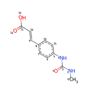 CNC(=O)Nc1ccc(C=CC(=O)O)cc1